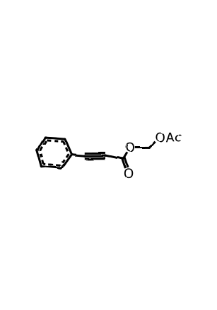 CC(=O)OCOC(=O)C#Cc1ccccc1